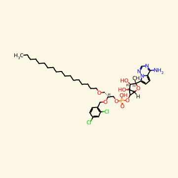 CCCCCCCCCCCCCCCCCCOC[C@H](COP(=O)(O)OC1[C@H]2O[C@@](C)(c3ccc4c(N)ncnn34)[C@H](O)[C@@]12O)OCc1ccc(Cl)cc1Cl